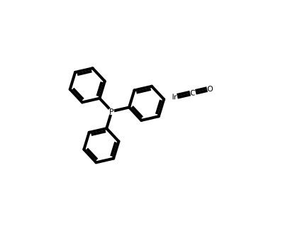 O=[C]=[Ir].c1ccc(P(c2ccccc2)c2ccccc2)cc1